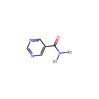 CCN(CC)C(=O)c1cncnc1